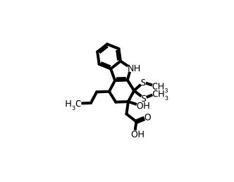 CCCC1CC(O)(CC(=O)O)C(SC)(SC)c2[nH]c3ccccc3c21